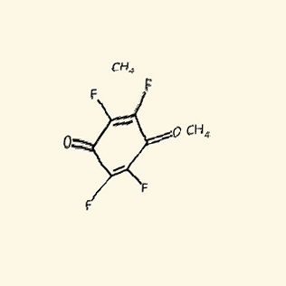 C.C.O=C1C(F)=C(F)C(=O)C(F)=C1F